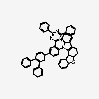 C1=CCC(c2nc(-c3ccccc3)nc(-c3cc(C4C=CC(c5ccccc5)=C(C5=CCCC=C5)C4)ccc3N3C4=C(CCC5SC6C=CC=CC6C45)C4=CC=CCC43)n2)C=C1